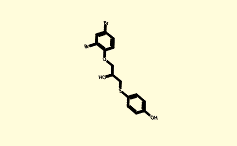 Oc1ccc(SCC(O)COc2ccc(Br)cc2Br)cc1